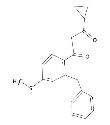 CSc1ccc(C(=O)CC(=O)C2CC2)c(Cc2ccccc2)c1